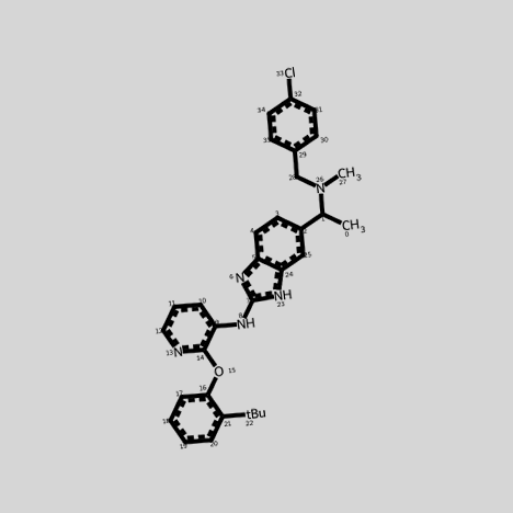 CC(c1ccc2nc(Nc3cccnc3Oc3ccccc3C(C)(C)C)[nH]c2c1)N(C)Cc1ccc(Cl)cc1